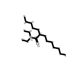 CCCCCCCC(CCCCC)C(=O)N(CC)CC